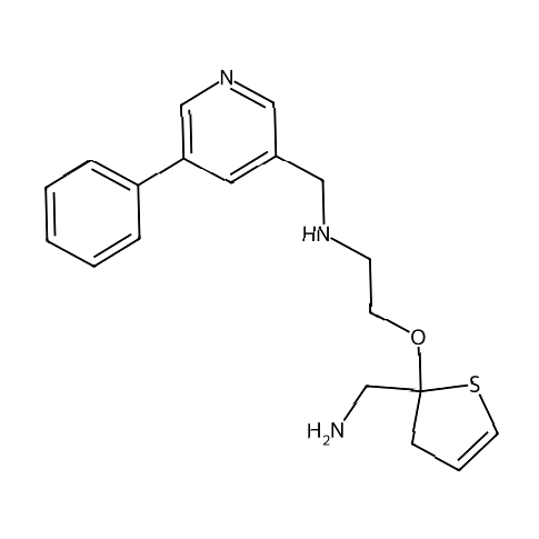 NCC1(OCCNCc2cncc(-c3ccccc3)c2)CC=CS1